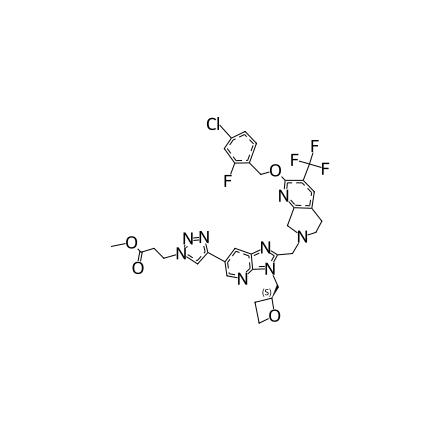 COC(=O)CCn1cc(-c2cnc3c(c2)nc(CN2CCc4cc(C(F)(F)F)c(OCc5ccc(Cl)cc5F)nc4C2)n3C[C@@H]2CCO2)nn1